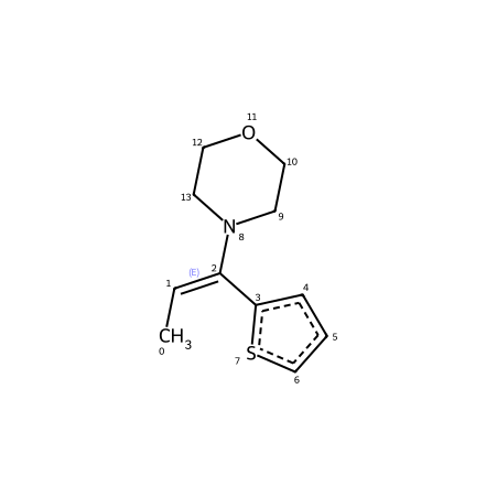 C/C=C(\c1cccs1)N1CCOCC1